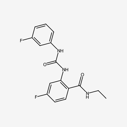 CCNC(=O)c1ccc(F)cc1NC(=O)Nc1cccc(F)c1